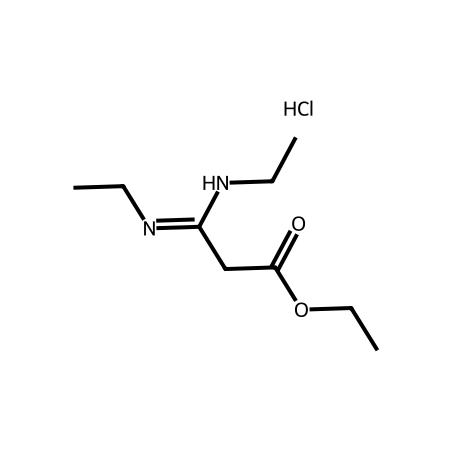 CCN=C(CC(=O)OCC)NCC.Cl